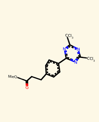 COC(=O)CCc1ccc(-c2nc(C(Cl)(Cl)Cl)nc(C(Cl)(Cl)Cl)n2)cc1